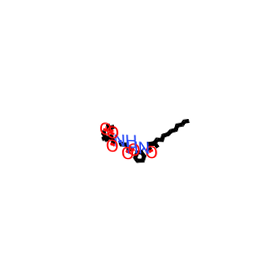 CCCCCCCCCC/C(C)=C/C(=O)N[C@H]1CCCC[C@@H]1OC(=O)CCNC(=O)C1OC(C)(C)OCC1(C)C